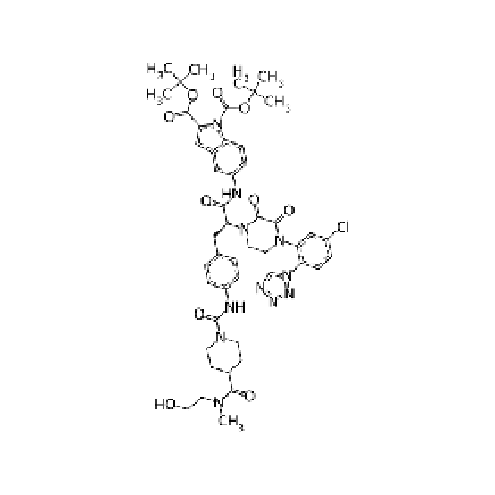 CN(CCO)C(=O)C1CCN(C(=O)Nc2ccc(C[C@@H](C(=O)Nc3ccc4c(c3)cc(C(=O)OC(C)(C)C)n4C(=O)OC(C)(C)C)N3CCN(c4cc(Cl)ccc4-n4cnnn4)C(=O)C3=O)cc2)CC1